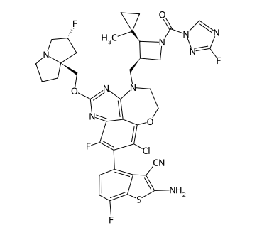 CC1([C@@H]2[C@H](CN3CCOc4c(Cl)c(-c5ccc(F)c6sc(N)c(C#N)c56)c(F)c5nc(OC[C@@]67CCCN6C[C@H](F)C7)nc3c45)CN2C(=O)n2cnc(F)n2)CC1